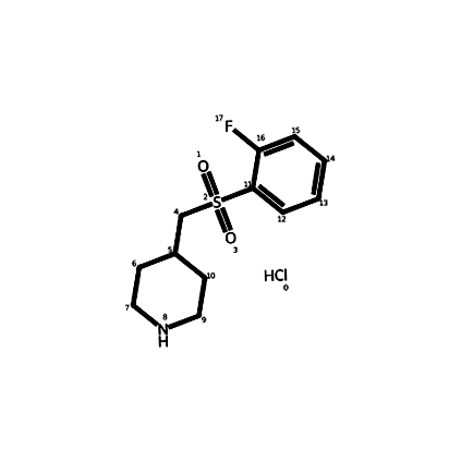 Cl.O=S(=O)(CC1CCNCC1)c1ccccc1F